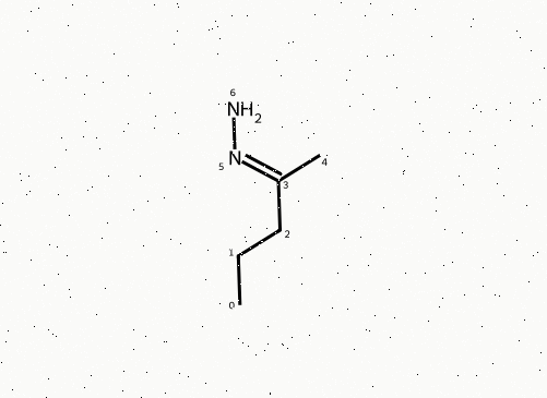 CCCC(C)=NN